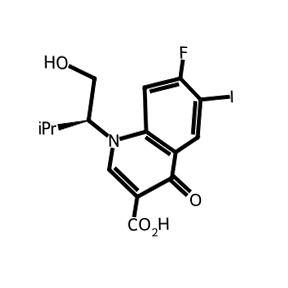 CC(C)[C@@H](CO)n1cc(C(=O)O)c(=O)c2cc(I)c(F)cc21